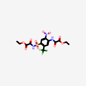 CCOC(=O)C(=O)Nc1cc(C(F)(F)F)c(S(=O)(=O)NC(=O)C(=O)OCC)cc1[N+](=O)[O-]